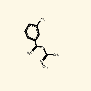 C=C(SC(C)=NC)c1cccc(C(F)(F)F)c1